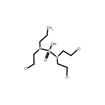 CCCN(CCCl)P(=O)(O)N(CCCl)CCCl